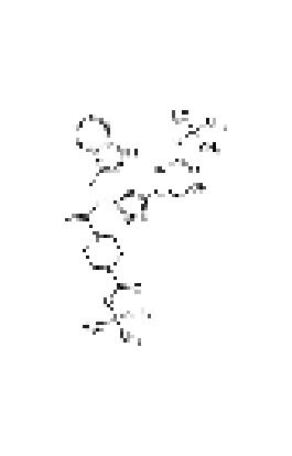 CC(C)(C)OC(=O)N[C@@H](CO)c1cn([C@@H](Cc2c[nH]c3ccccc23)C(=O)N2CCN(C(=O)OC(C)(C)C)CC2)nn1